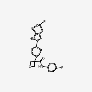 O=C(Nc1ccc(F)cc1)C1(c2ccc(-c3nc4cc(Br)cnc4[nH]3)cc2)COC1